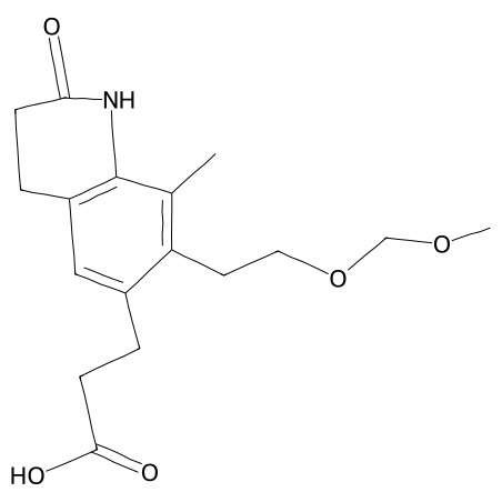 COCOCCc1c(CCC(=O)O)cc2c(c1C)NC(=O)CC2